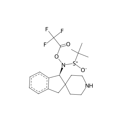 CC(C)(C)[S+]([O-])N(OC(=O)C(F)(F)F)[C@@H]1c2ccccc2CC12CCNCC2